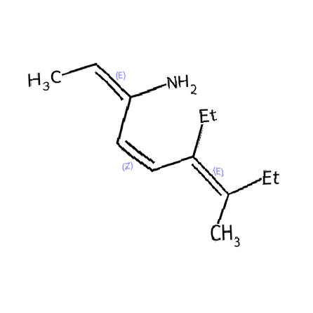 C\C=C(N)/C=C\C(CC)=C(/C)CC